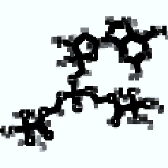 CC(C)(C)C(=O)OCOP(=O)(OCOC(=O)C(C)(C)C)OC[C@@]1(F)O[C@@H](n2cnc3c(N)nc(F)nc32)C[C@@H]1F